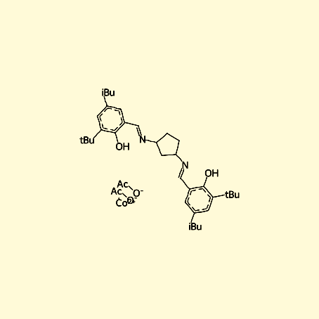 CC(=O)[O-].CC(=O)[O-].CCC(C)c1cc(C=NC2CCC(N=Cc3cc(C(C)CC)cc(C(C)(C)C)c3O)C2)c(O)c(C(C)(C)C)c1.[Co+2]